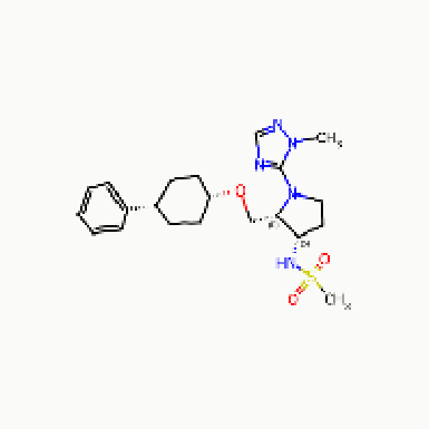 Cn1ncnc1N1CC[C@H](NS(C)(=O)=O)[C@@H]1CO[C@H]1CC[C@@H](c2ccccc2)CC1